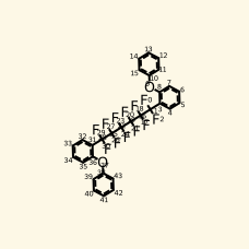 FC(F)(c1ccccc1Oc1ccccc1)C(F)(F)C(F)(F)C(F)(F)C(F)(F)C(F)(F)c1ccccc1Oc1ccccc1